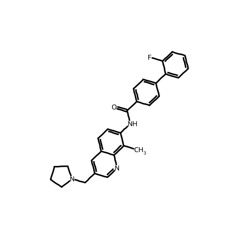 Cc1c(NC(=O)c2ccc(-c3ccccc3F)cc2)ccc2cc(CN3CCCC3)cnc12